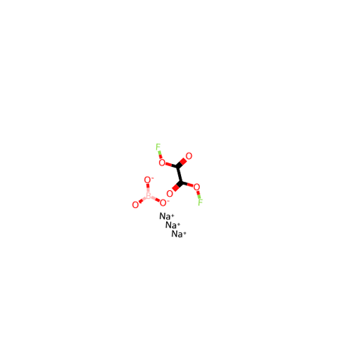 O=C(OF)C(=O)OF.[Na+].[Na+].[Na+].[O-]B([O-])[O-]